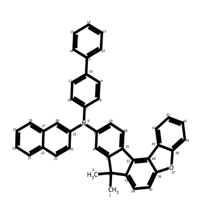 CC1(C)c2cc(N(c3ccc(-c4ccccc4)cc3)c3ccc4ccccc4c3)ccc2-c2c1ccc1oc3ccccc3c21